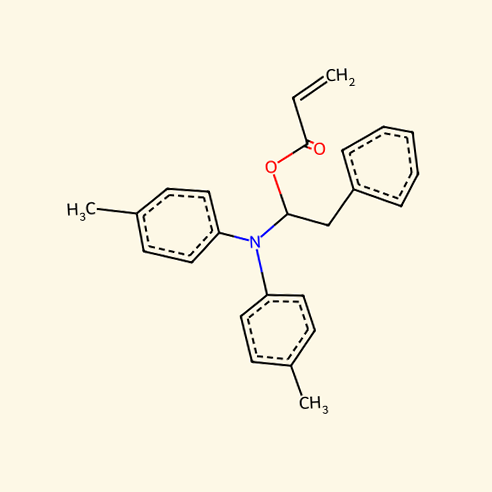 C=CC(=O)OC(Cc1ccccc1)N(c1ccc(C)cc1)c1ccc(C)cc1